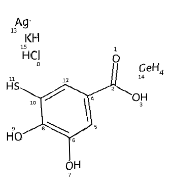 Cl.O=C(O)c1cc(O)c(O)c(S)c1.[Ag].[GeH4].[KH]